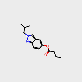 CCCC(=O)Oc1ccc2nn(CC(C)C)cc2c1